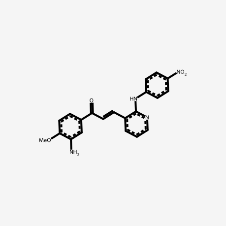 COc1ccc(C(=O)/C=C/c2cccnc2Nc2ccc([N+](=O)[O-])cc2)cc1N